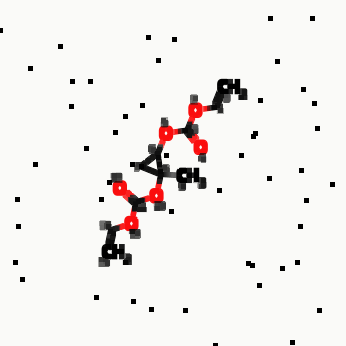 C=COC(=O)OC1CC1(C)OC(=O)OC=C